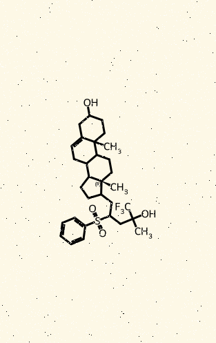 CC12CCC(O)CC1=CCC1C2CC[C@]2(C)C(CC(CC(C)(O)C(F)(F)F)S(=O)(=O)c3ccccc3)CCC12